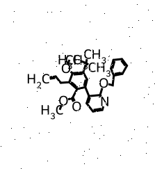 C=CCc1c(OC)c(C(C)(C)C)cc(-c2cccnc2OCc2ccccc2)c1C(=O)OC